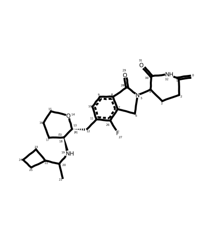 C=C1CCC(N2Cc3c(ccc(C[C@H]4OCCC[C@@H]4NC(C)C4CCC4)c3F)C2=O)C(=O)N1